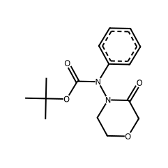 CC(C)(C)OC(=O)N(c1ccccc1)N1CCOCC1=O